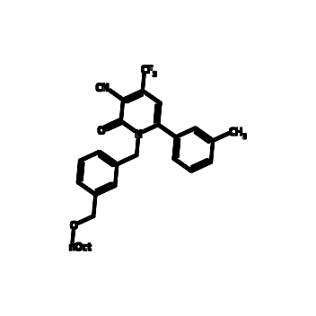 [C-]#[N+]c1c(C(F)(F)F)cc(-c2cccc(C)c2)n(Cc2cccc(COCCCCCCCC)c2)c1=O